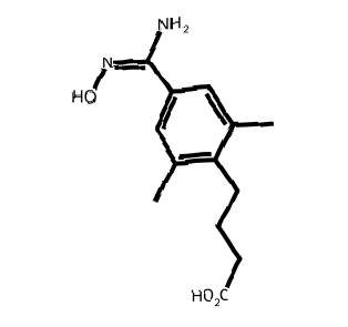 Cc1cc(/C(N)=N\O)cc(C)c1CCCC(=O)O